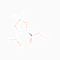 CCOC(=O)[C@@H]1OC(C)(C)O[C@H]1C(C)=O